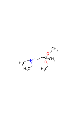 CCO[Si](C)(CCCN(CC)CC)OCC